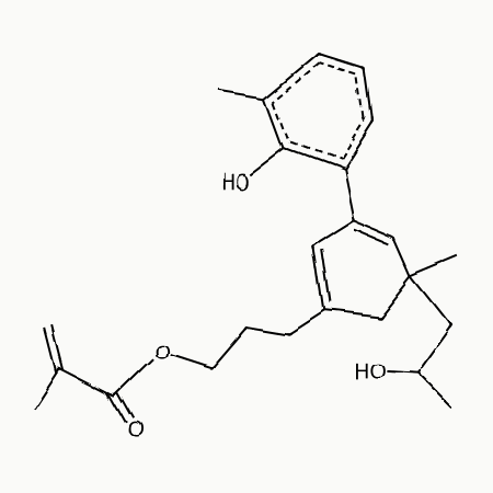 C=C(C)C(=O)OCCCC1=CC(c2cccc(C)c2O)=CC(C)(CC(C)O)C1